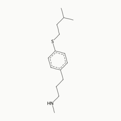 CNCCCc1ccc(SCCC(C)C)cc1